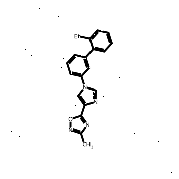 CCc1ccccc1-c1cccc(-n2cnc(-c3nc(C)no3)c2)c1